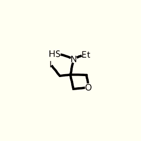 CCN(S)C1(CI)COC1